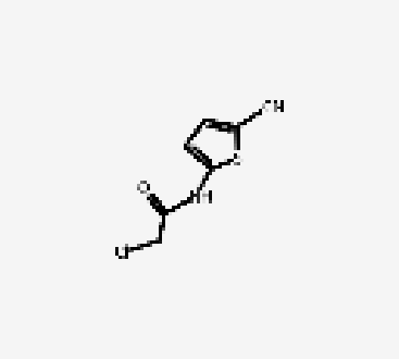 N#Cc1ccc(NC(=O)CCl)s1